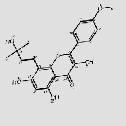 COc1ccc(-c2oc3c(CCC(C)(C)O)c(O)cc(O)c3c(=O)c2O)cc1